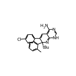 Cc1ccccc1C1(C(C)(C)C)N=C2NC=NC(N)=C2C=C1c1ccc(Cl)cc1